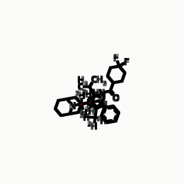 [2H]C([2H])([2H])c1nnc(C(C)C)n1C1CC2CCCC(C1)N2C([2H])([2H])C([2H])([2H])[C@H](NC(=O)C1CCC(F)(F)CC1)c1ccccc1